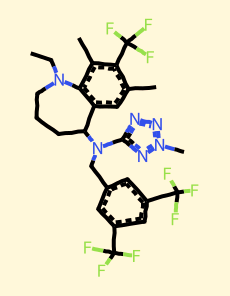 CCN1CCCC(N(Cc2cc(C(F)(F)F)cc(C(F)(F)F)c2)c2nnn(C)n2)c2cc(C)c(C(F)(F)F)c(C)c21